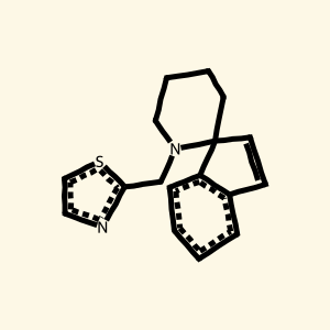 C1=CC2(CCCCN2Cc2nccs2)c2ccccc21